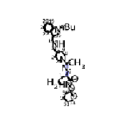 C=C/C(=C\N=C(/C)N1CCC(CNCC2CN(CCCC)c3ccccc32)CC1)C(=O)NOC1CCCCO1